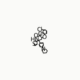 O=C1CC(c2ccc(N3CCCCC3)cc2)(c2ccsc2)NC(=O)C1Oc1ccccc1Cl